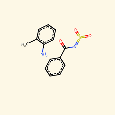 Cc1ccccc1N.O=C(N=S(=O)=O)c1ccccc1